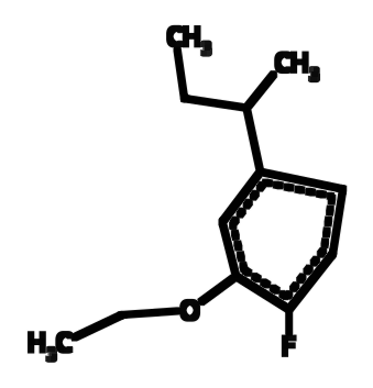 CCOc1cc(C(C)CC)ccc1F